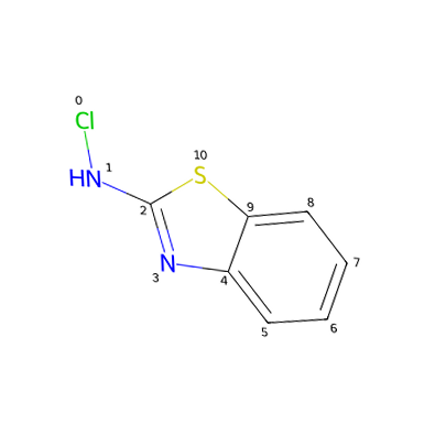 ClNc1nc2ccccc2s1